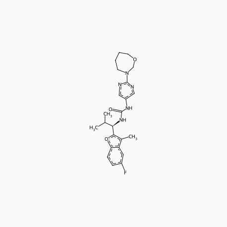 Cc1c([C@H](NC(=O)Nc2cnc(N3CCCCOC3)nc2)C(C)C)oc2ccc(F)cc12